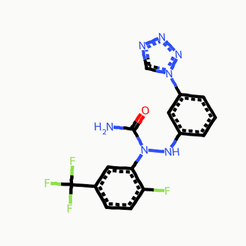 NC(=O)N(Nc1cccc(-n2cnnn2)c1)c1cc(C(F)(F)F)ccc1F